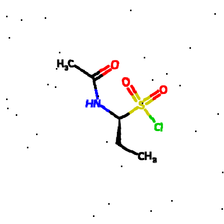 CC[C@@H](NC(C)=O)S(=O)(=O)Cl